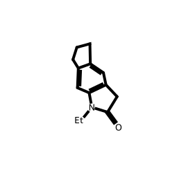 CCN1C(=O)Cc2cc3c(cc21)CCC3